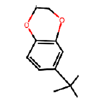 CC(C)(C)c1ccc2c(c1)OC[CH]O2